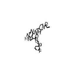 C=CC(=O)N1CCC(CNc2ncnc3[nH]cc(C(=O)N4CC(Oc5cccc(F)c5)C4)c23)CC1